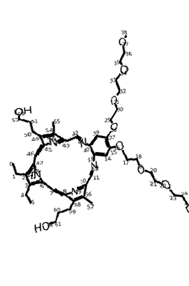 CCc1c(CC)c2cc3nc(cnc4cc(OCCOCCOCCOC)c(OCCOCCOCCOC)cc4ncc4nc(cc1[nH]2)C(CCCO)=C4C)C(C)=C3CCCO